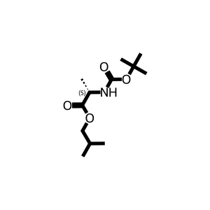 CC(C)COC(=O)[C@H](C)NC(=O)OC(C)(C)C